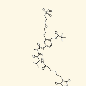 CC(C)[C@H](NC(=O)CCCCCN1C(=O)C=CC1=O)C(=O)N[C@@H](C)C(=O)Nc1ccc(COC(=O)C(C)(C)C)c(CCCOCCCS(=O)(=O)O)c1